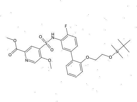 COC(=O)c1cc(S(=O)(=O)Nc2cc(-c3ccccc3OCCO[Si](C)(C)C(C)(C)C)ccc2F)c(OC)cn1